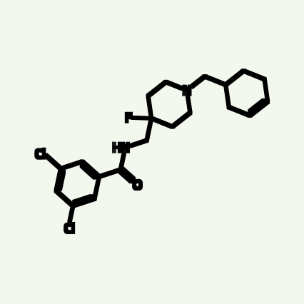 O=C(NCC1(F)CCN(CC2CC=CCC2)CC1)c1cc(Cl)cc(Cl)c1